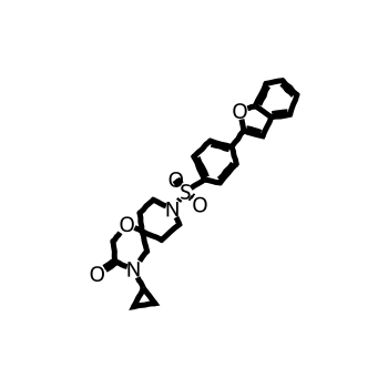 O=C1COC2(CCN(S(=O)(=O)c3ccc(-c4cc5ccccc5o4)cc3)CC2)CN1C1CC1